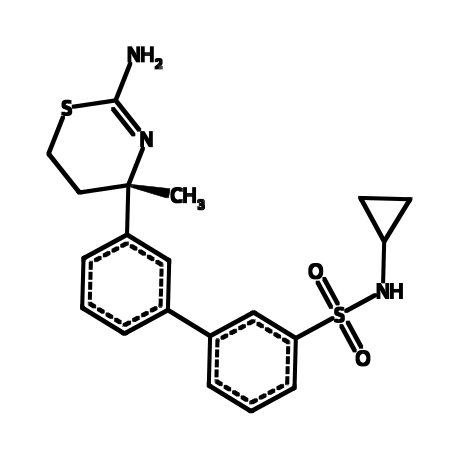 C[C@@]1(c2cccc(-c3cccc(S(=O)(=O)NC4CC4)c3)c2)CCSC(N)=N1